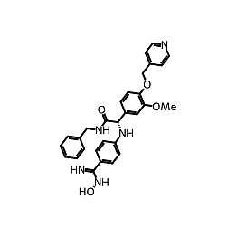 COc1cc([C@H](Nc2ccc(C(=N)NO)cc2)C(=O)NCc2ccccc2)ccc1OCc1ccncc1